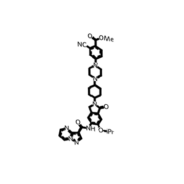 COC(=O)c1ccc(N2CCN(C3CCC(N4Cc5cc(NC(=O)c6cnn7cccnc67)c(OC(C)C)cc5C4=O)CC3)CC2)cc1C#N